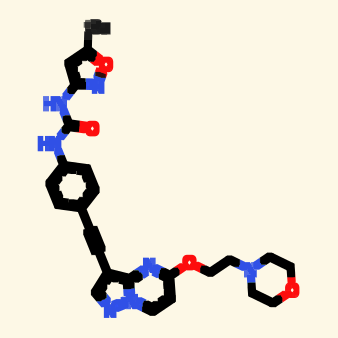 CC(C)(C)c1cc(NC(=O)Nc2ccc(C#Cc3cnn4ccc(OCCN5CCOCC5)nc34)cc2)no1